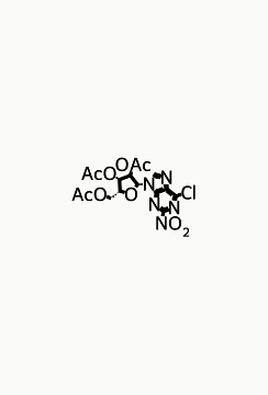 CC(=O)OC[C@H]1O[C@@H](n2cnc3c(Cl)nc([N+](=O)[O-])nc32)C(OC(C)=O)[C@H]1OC(C)=O